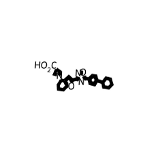 O=C(O)C1CN(C2CCCc3oc(-c4noc(-c5ccc(C6CCCCC6)cc5)n4)cc32)C1